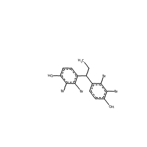 CCC(c1ccc(O)c(Br)c1Br)c1ccc(O)c(Br)c1Br